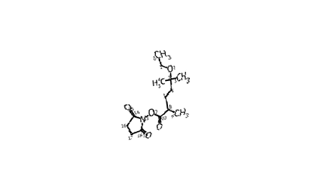 CCOC(C)(C)CCC(C)C(=O)ON1C(=O)CCC1=O